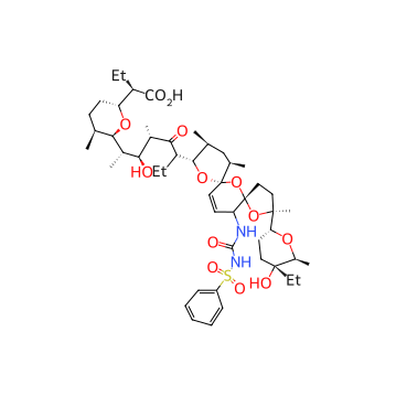 CCC(C(=O)[C@@H](C)[C@@H](O)[C@H](C)[C@@H]1O[C@@H]([C@@H](CC)C(=O)O)CC[C@@H]1C)[C@H]1O[C@]2(C=CC(NC(=O)NS(=O)(=O)c3ccccc3)[C@]3(CC[C@@](C)([C@H]4CC[C@](O)(CC)[C@H](C)O4)O3)O2)[C@H](C)C[C@@H]1C